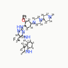 C=C1Nc2cccc(CNc3nc(Nc4ccc(N5CCN(C6CCN(C)CC6)CC5)cc4OCC)ncc3C(F)(F)F)c2C1(C)C